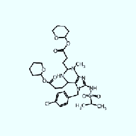 CC(C)S(=O)(=O)Nc1nc2c(n1Cc1ccc(Cl)cc1)C(CCC(=O)OC1CCCCO1)NC(CCC(=O)OC1CCCCO1)N2C